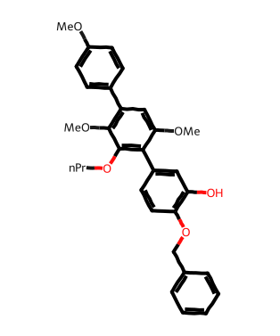 CCCOc1c(OC)c(-c2ccc(OC)cc2)cc(OC)c1-c1ccc(OCc2ccccc2)c(O)c1